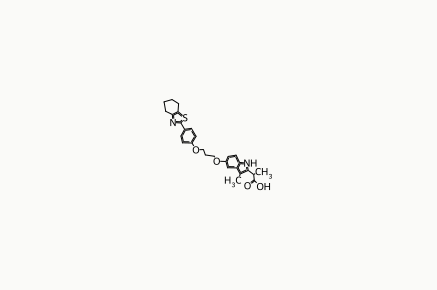 Cc1c(C(C)C(=O)O)[nH]c2ccc(OCCCOc3ccc(-c4nc5c(s4)CCCC5)cc3)cc12